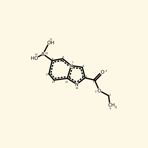 CCOC(=O)c1cn2cc(B(O)O)ccc2n1